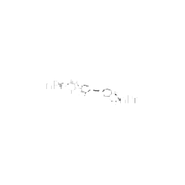 CCCc1ccc2cc(C#Cc3ccc([C@H]4CC[C@H](CCC)CC4)cc3)ccc2c1